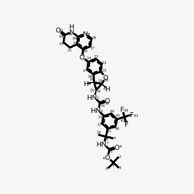 CC(C)(C)OC(=O)NC(C)(C)c1cc(NC(=O)N[C@@H]2[C@H]3Oc4ccc(Oc5ccnc6c5CCC(=O)N6)cc4[C@@H]23)cc(C(F)(F)F)c1